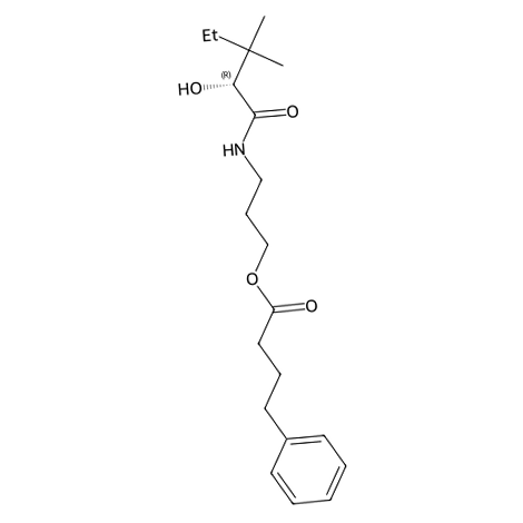 CCC(C)(C)[C@@H](O)C(=O)NCCCOC(=O)CCCc1ccccc1